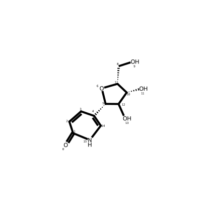 O=c1ccc([C@@H]2O[C@H](CO)[C@H](O)C2O)c[nH]1